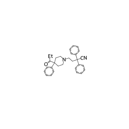 CCC(=O)C1(c2ccccc2)CCN(CCC(C#N)(c2ccccc2)c2ccccc2)CC1